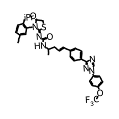 Cc1ccc(C(C)C)c(N2C(=O)CS/C2=N\C(=O)NC(C)C/C=C/c2ccc(-c3ncn(-c4ccc(OC(F)(F)F)cc4)n3)cc2)c1